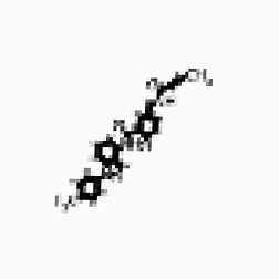 CC#CC(=O)NCc1ccc(Cl)c(C(=O)Nc2cccc3c2cnn3-c2ccc(C(F)(F)F)cc2)c1